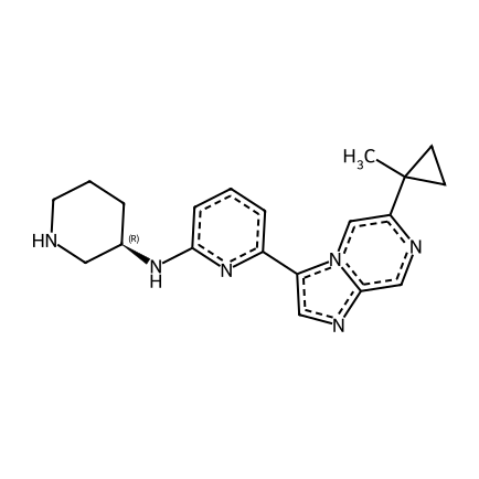 CC1(c2cn3c(-c4cccc(N[C@@H]5CCCNC5)n4)cnc3cn2)CC1